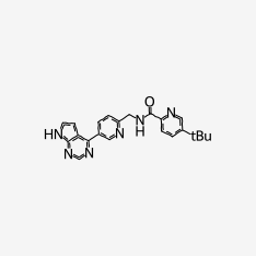 CC(C)(C)c1ccc(C(=O)NCc2ccc(-c3ncnc4[nH]ccc34)cn2)nc1